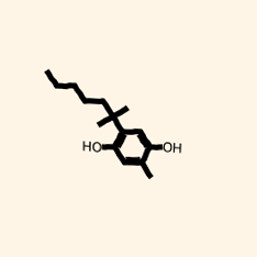 CCCCCC(C)(C)c1cc(O)c(C)cc1O